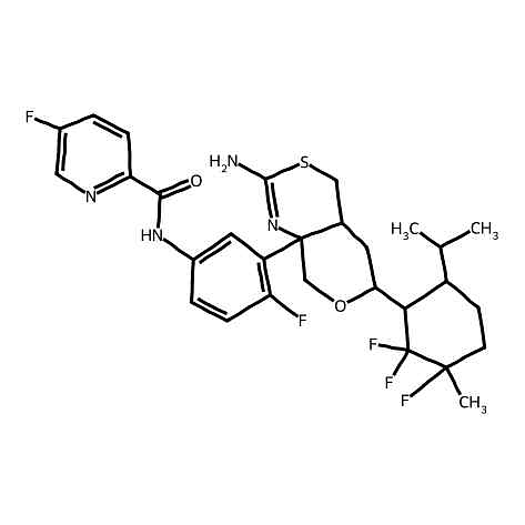 CC(C)C1CCC(C)(F)C(F)(F)C1C1CC2CSC(N)=NC2(c2cc(NC(=O)c3ccc(F)cn3)ccc2F)CO1